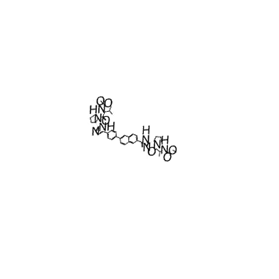 COC(=O)NC(C)C(=O)N1CCC[C@H]1c1ncc(-c2ccc3cc(-c4ccc(-c5cnc([C@@H]6CCCN6C(=O)C(NC(=O)OC)C(C)C)[nH]5)cc4)ccc3c2)[nH]1